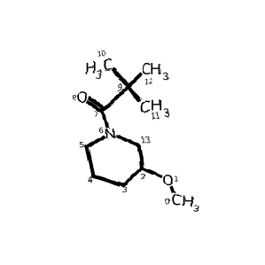 COC1CCCN(C(=O)C(C)(C)C)C1